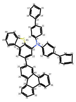 c1ccc(-c2ccc(N(c3ccc(-c4ccccc4)cc3)c3cc(-c4ccc5c6ccccc6c6ccccc6c5c4)cc4c3sc3ccccc34)cc2)cc1